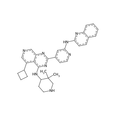 CC1(C)CNCCC1Nc1nc(-c2ccnc(Nc3ccc4ccccc4n3)c2)nc2cncc(C3CCC3)c12